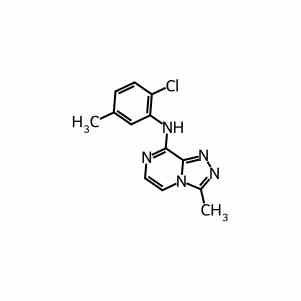 Cc1ccc(Cl)c(Nc2nccn3c(C)nnc23)c1